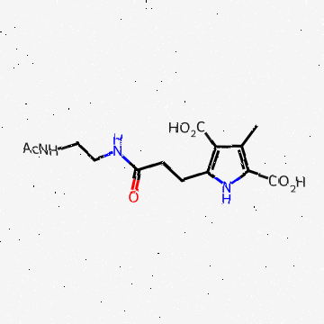 CC(=O)NCCNC(=O)CCc1[nH]c(C(=O)O)c(C)c1C(=O)O